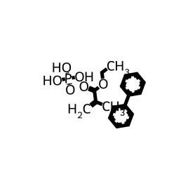 C=C(C)C(=O)OCC.O=P(O)(O)O.c1ccc(-c2ccccc2)cc1